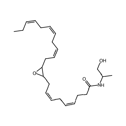 CC/C=C\C/C=C\C/C=C\CC1OC1C/C=C\C/C=C\CCC(=O)NC(C)CO